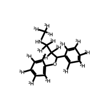 [2H]c1c([2H])c([2H])c(C(Oc2c([2H])c([2H])c([2H])c([2H])c2C)C([2H])([2H])C([2H])([2H])NC([2H])([2H])[2H])c([2H])c1[2H]